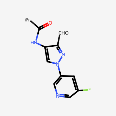 CC(C)C(=O)Nc1cn(-c2cncc(F)c2)nc1C=O